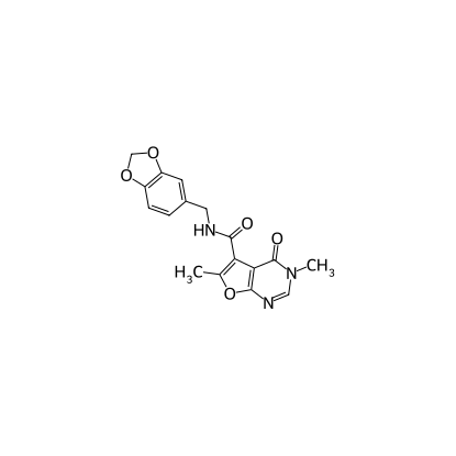 Cc1oc2ncn(C)c(=O)c2c1C(=O)NCc1ccc2c(c1)OCO2